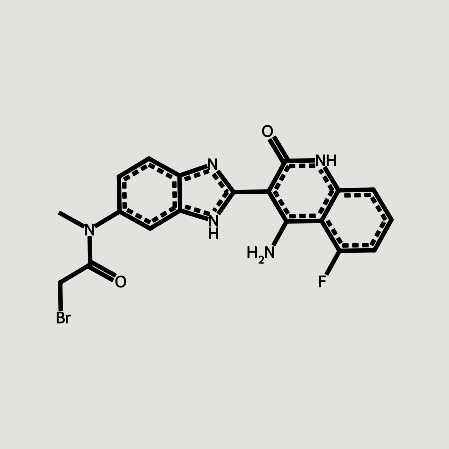 CN(C(=O)CBr)c1ccc2nc(-c3c(N)c4c(F)cccc4[nH]c3=O)[nH]c2c1